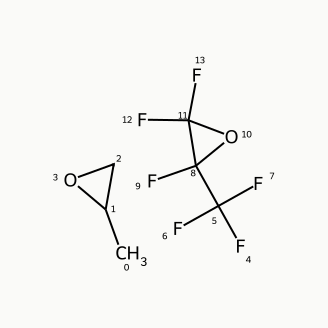 CC1CO1.FC(F)(F)C1(F)OC1(F)F